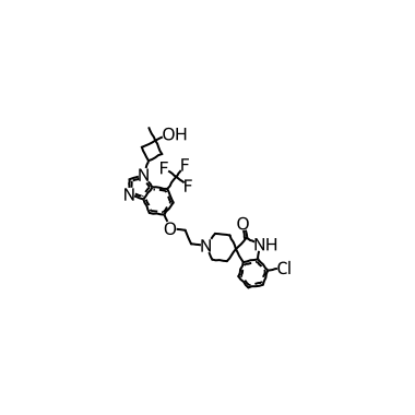 CC1(O)CC(n2cnc3cc(OCCN4CCC5(CC4)C(=O)Nc4c(Cl)cccc45)cc(C(F)(F)F)c32)C1